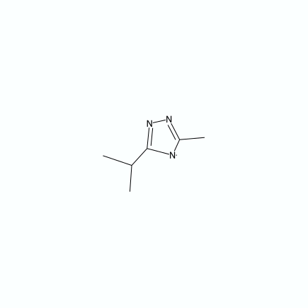 CC1=NN=C(C(C)C)[N]1